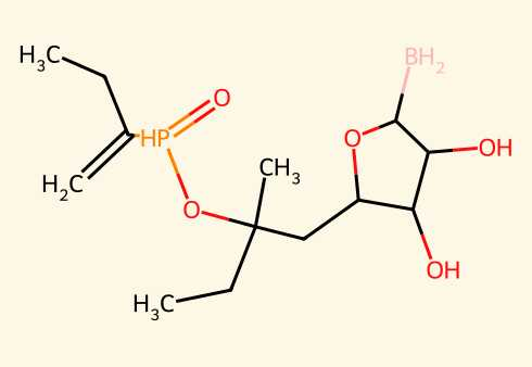 BC1OC(CC(C)(CC)O[PH](=O)C(=C)CC)C(O)C1O